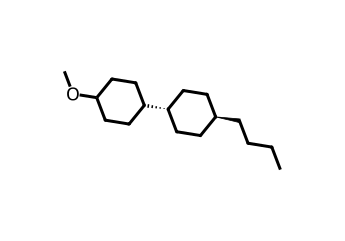 CCCC[C@H]1CC[C@H](C2CCC(OC)CC2)CC1